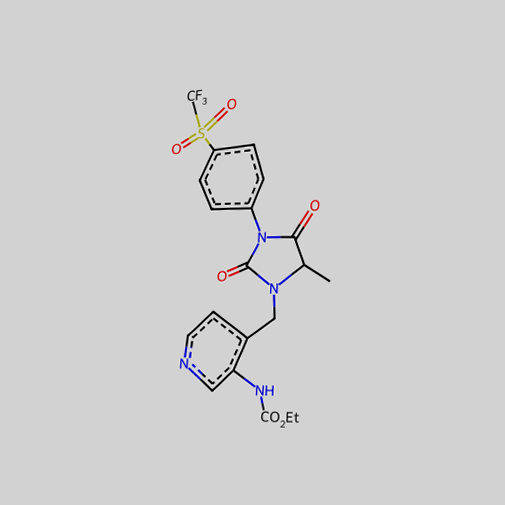 CCOC(=O)Nc1cnccc1CN1C(=O)N(c2ccc(S(=O)(=O)C(F)(F)F)cc2)C(=O)C1C